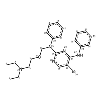 CCN(CC)CCOCN(c1ccccc1)c1ncc(Br)c(Nc2ccccc2)n1